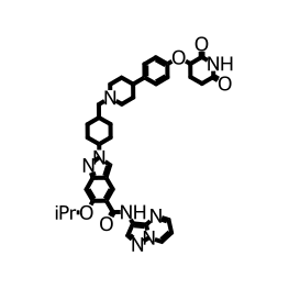 CC(C)Oc1cc2nn(C3CCC(CN4CCC(c5ccc(OC6CCC(=O)NC6=O)cc5)CC4)CC3)cc2cc1C(=O)Nc1cnn2cccnc12